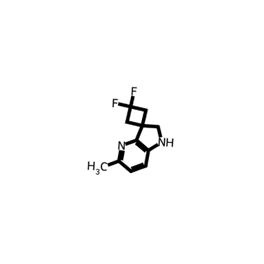 Cc1ccc2c(n1)C1(CN2)CC(F)(F)C1